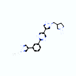 Cn1cc(-c2cccc(-c3ncc(-c4cnn(CC5CCNC5)c4)cn3)c2)cn1